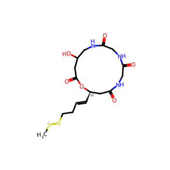 CSSCCC=C[C@@H]1CC(=O)NCC(=O)NCC(=O)NCC(O)CC(=O)O1